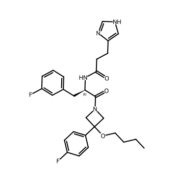 CCCCOC1(c2ccc(F)cc2)CN(C(=O)[C@@H](Cc2cccc(F)c2)NC(=O)CCc2c[nH]cn2)C1